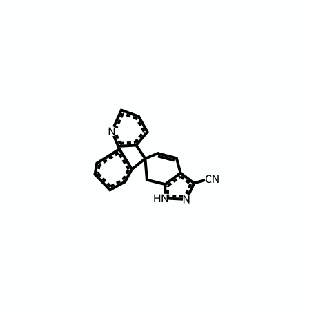 N#Cc1n[nH]c2c1C=CC(c1ccccc1)(c1cccnc1)C2